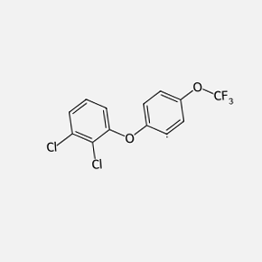 FC(F)(F)Oc1c[c]c(Oc2cccc(Cl)c2Cl)cc1